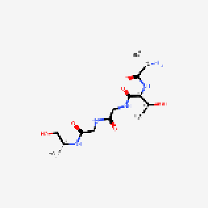 CC[C@H](C)[C@H](N)C(=O)N[C@H](C(=O)NCC(=O)NCC(=O)N[C@@H](CO)C(=O)O)[C@H](C)O